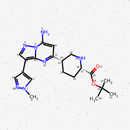 Cn1cc(-c2cnn3c(N)cc([C@H]4CC[C@@H](C(=O)OC(C)(C)C)NC4)nc23)cn1